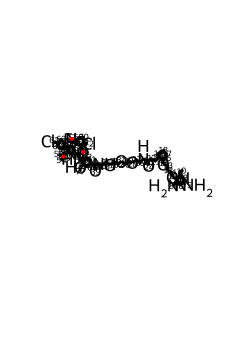 CCc1nc(N)nc(N)c1OCCCOc1ccccc1CCC(=O)NCCOCCOCCOCCNC(=O)c1ccc(NC(=O)C2N[C@@H](CC(C)(C)C)[C@](C#N)(c3ccc(Cl)cc3F)[C@H]2c2cccc(Cl)c2F)c(OC)c1